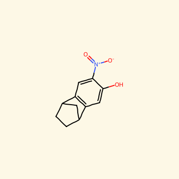 O=[N+]([O-])c1cc2c(cc1O)C1CCC2C1